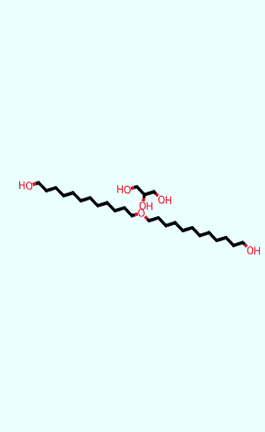 OCC(O)CO.OCCCCCCCCCCCCOCCCCCCCCCCCCO